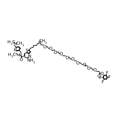 CCCN(Cc1ccc(CN(C)C)nc1)C(=O)C1=Cc2sc(CCCCCN(C)CCOCCOCCOCCOCCOCCOCCOCCOCCOCCOCCC(=O)Oc3c(F)c(F)cc(F)c3F)cc2N=C(N)C1